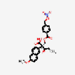 CCC(=O)[C@](COC(=O)c1ccc(CO[N+](=O)[O-])cc1)(C(=O)O)c1ccc2cc(OC)ccc2c1